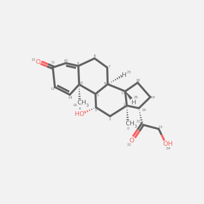 C[C@]12C[C@H](O)C3[C@@H](CCC4=CC(=O)C=C[C@@]43C)[C@@H]1CC[C@@H]2C(=O)CO